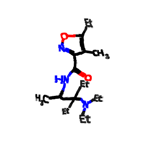 CCc1onc(C(=O)NC(C)C(CC)(CC)N(CC)CC)c1C